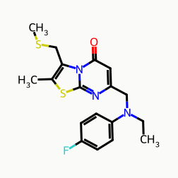 CCN(Cc1cc(=O)n2c(CSC)c(C)sc2n1)c1ccc(F)cc1